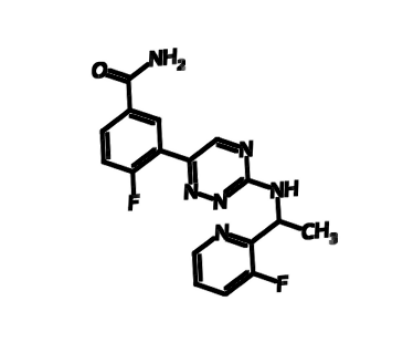 CC(Nc1ncc(-c2cc(C(N)=O)ccc2F)nn1)c1ncccc1F